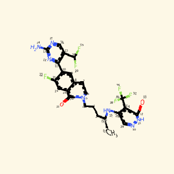 C[C@@H](CCCn1ccc2cc(-c3nc(N)ncc3C(F)F)c(F)cc2c1=O)Nc1cn[nH]c(=O)c1C(F)(F)F